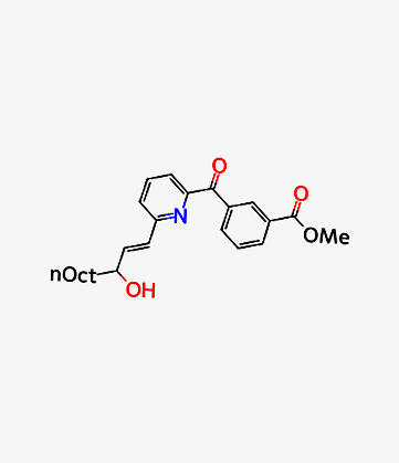 CCCCCCCCC(O)C=Cc1cccc(C(=O)c2cccc(C(=O)OC)c2)n1